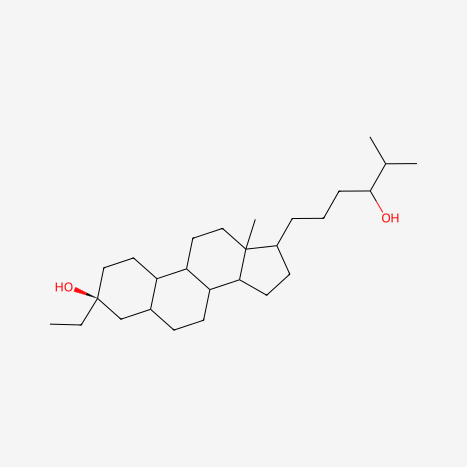 CC[C@]1(O)CCC2C(CCC3C2CCC2(C)C(CCCC(O)C(C)C)CCC32)C1